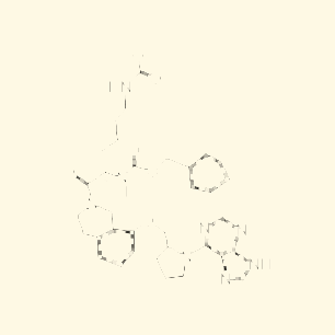 O=C(O)NCCCC[C@H](NC(=O)OCc1ccccc1)C(=O)N1CCc2cccc(OCC3CCCN3c3ncnc4[nH]cnc34)c2C1